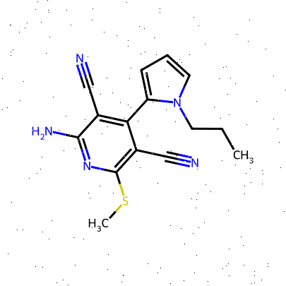 CCCn1cccc1-c1c(C#N)c(N)nc(SC)c1C#N